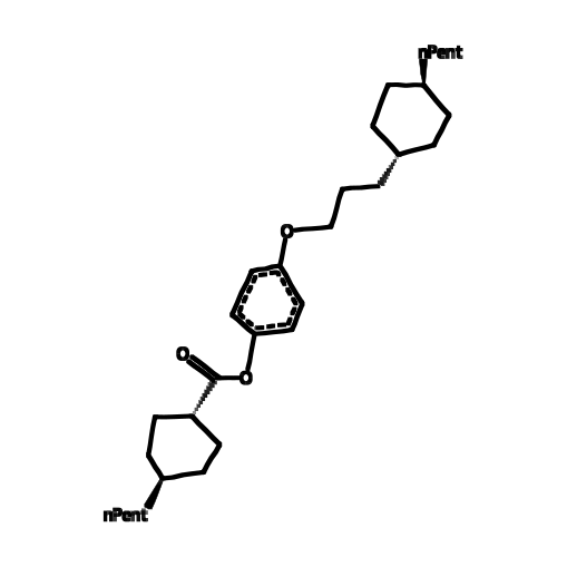 CCCCC[C@H]1CC[C@H](CCCOc2ccc(OC(=O)[C@H]3CC[C@H](CCCCC)CC3)cc2)CC1